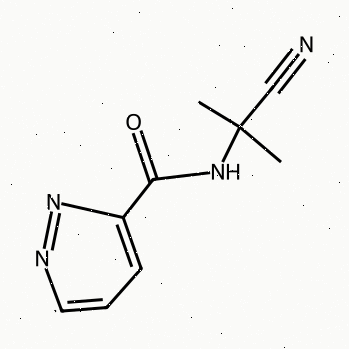 CC(C)(C#N)NC(=O)c1cc[c]nn1